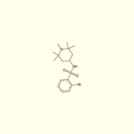 CN1C(C)(C)CC(NS(=O)(=O)c2ccccc2Br)CC1(C)C